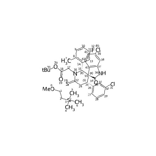 COCC[Si](C)(C)C.Cc1ccc(F)cc1[C@H]1N(CC(=O)OC(C)(C)C)C(=S)C[C@@H](c2cccc(Cl)c2)[C@]12C(=O)Nc1cc(Cl)ccc12